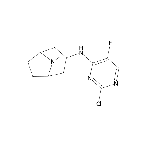 CN1C2CCC1CC(Nc1nc(Cl)ncc1F)C2